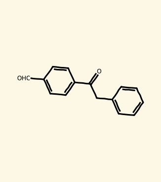 O=Cc1ccc(C(=O)Cc2ccccc2)cc1